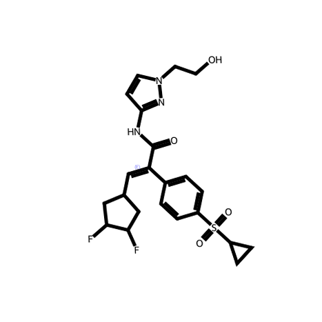 O=C(Nc1ccn(CCO)n1)/C(=C/C1CC(F)C(F)C1)c1ccc(S(=O)(=O)C2CC2)cc1